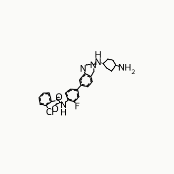 N[C@H]1CC[C@H](NN2C=Nc3cc(-c4ccc(NS(=O)(=O)c5ccccc5Cl)c(F)c4)ccc3C2)CC1